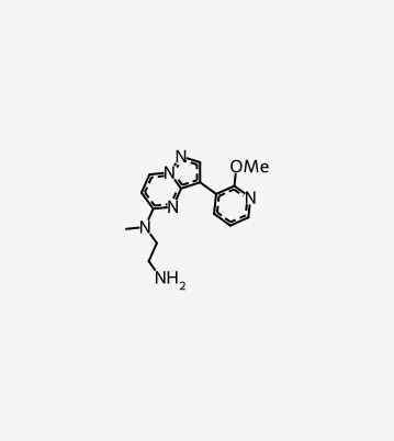 COc1ncccc1-c1cnn2ccc(N(C)CCN)nc12